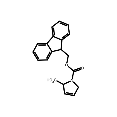 O=C(O)C1C=CCN1C(=O)OCC1c2ccccc2-c2ccccc21